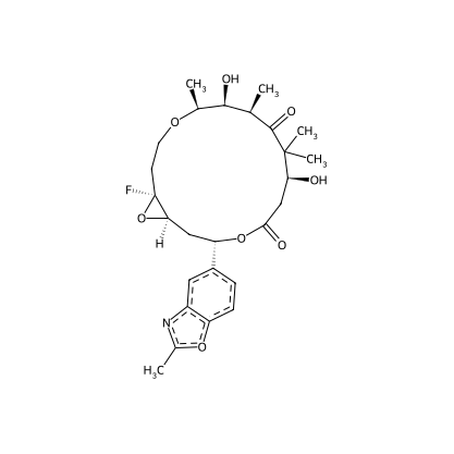 Cc1nc2cc([C@@H]3C[C@H]4O[C@@]4(F)CCO[C@@H](C)[C@@H](O)[C@@H](C)C(=O)C(C)(C)[C@@H](O)CC(=O)O3)ccc2o1